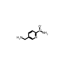 NCc1ccc([S+](N)[O-])nc1